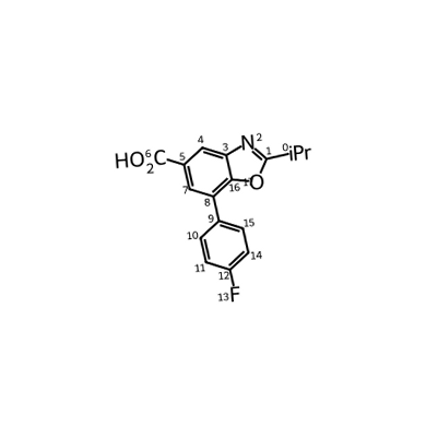 CC(C)c1nc2cc(C(=O)O)cc(-c3ccc(F)cc3)c2o1